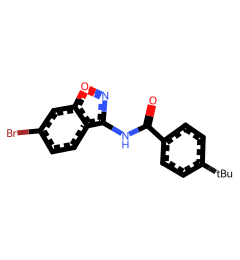 CC(C)(C)c1ccc(C(=O)Nc2noc3cc(Br)ccc23)cc1